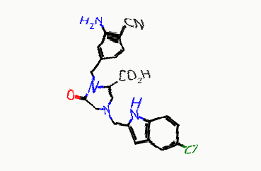 N#Cc1ccc(CN2C(=O)CN(Cc3cc4cc(Cl)ccc4[nH]3)CC2C(=O)O)cc1N